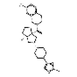 Cc1nc(C2CCN([C@@H]3C[C@H]4CCC[C@@]4(C(=O)N4CCc5ncc(C(F)(F)F)cc5C4)C3)CC2)no1